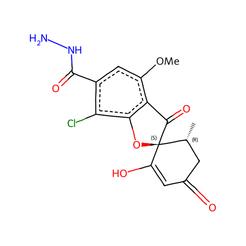 COc1cc(C(=O)NN)c(Cl)c2c1C(=O)[C@@]1(O2)C(O)=CC(=O)C[C@H]1C